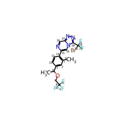 Cc1cc(C(C)OCC(F)(F)F)ccc1-c1cn2c(C(F)(F)Br)nnc2cn1